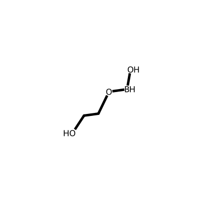 OBOCCO